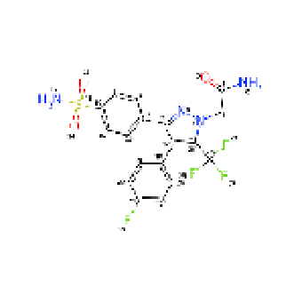 NC(=O)Cn1nc(-c2ccc(S(N)(=O)=O)cc2)c(-c2ccc(F)cc2)c1C(F)(F)F